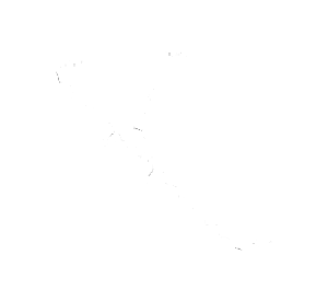 CCCCCCCC/C=C\CCCCCCCCCCCC(=O)OC[C@@H](COC(=O)CCCCCCC/C=C\CCCCCCCC)OC(=O)CCCCCCCCCCCCCCCCCC